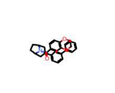 O=C(c1ccc2c(c1)OCCO2)N1C2CCC1CC(c1cccc(-c3ccccc3)c1)C2